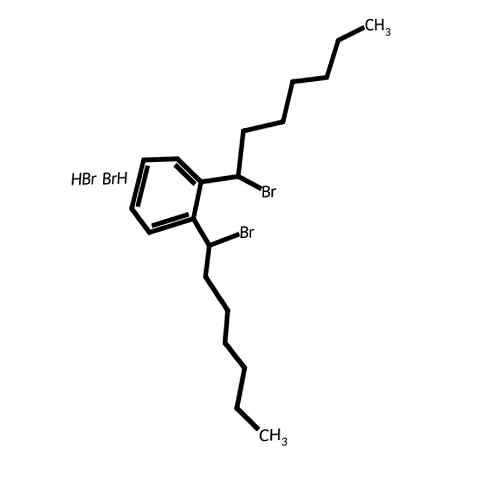 Br.Br.CCCCCCC(Br)c1ccccc1C(Br)CCCCCC